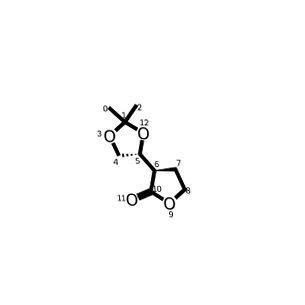 CC1(C)OC[C@@H]([C@H]2CCOC2=O)O1